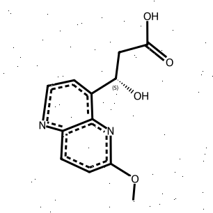 COc1ccc2nccc([C@@H](O)CC(=O)O)c2n1